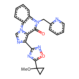 COC1(c2nc(-c3ncn4c3c(=O)n(Cc3ccccn3)c3ccccc34)no2)CC1